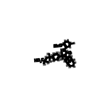 COc1ccc(C)cc1NC(=O)OC1CC2CCCC(C1)N2C(C)(C)CC(C)(C)c1ccc(C(C)(C)CC(C)(C)C(=O)O)cc1